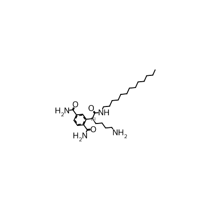 CCCCCCCCCCCCCNC(=O)[C@@H](CCCCN)c1cc(C(N)=O)ccc1C(N)=O